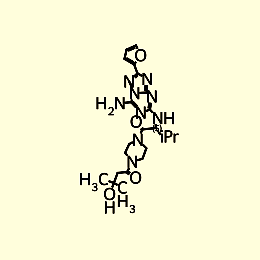 CC(C)[C@H](Nc1nc(N)n2nc(-c3ccco3)nc2n1)C(=O)N1CCN(C(=O)CC(C)(C)O)CC1